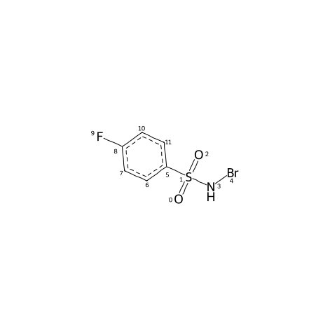 O=S(=O)(NBr)c1ccc(F)cc1